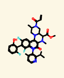 C=CC(=O)N1CC2C(C(=O)OC)N(C)c3c(c4cc(F)c(-c5c(O)cccc5F)c(F)c4n(-c4c(C)ccnc4C(C)C)c3=O)N2CC1C